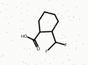 O=C(O)C1CCCCC1C(F)F